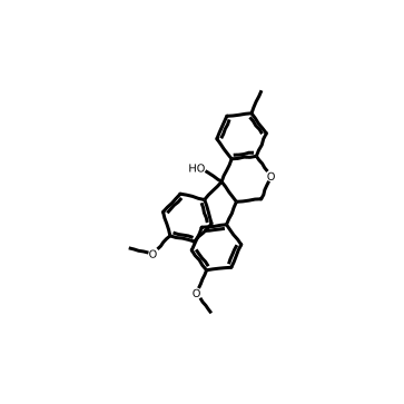 COc1ccc(C2COc3cc(C)ccc3C2(O)c2ccc(OC)cc2)cc1